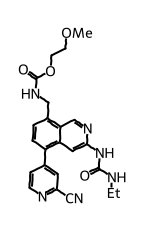 CCNC(=O)Nc1cc2c(-c3ccnc(C#N)c3)ccc(CNC(=O)OCCOC)c2cn1